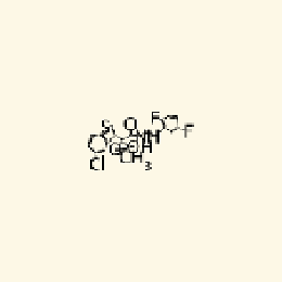 CP(=O)(O)C(C(=O)NC=Cc1cc(F)ccc1F)c1csc2ccc(Cl)cc12